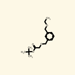 CCOCc1cccc(COCC(=O)OC(C)(C)C)c1